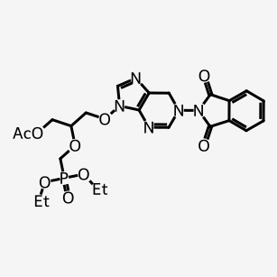 CCOP(=O)(COC(COC(C)=O)COn1cnc2c1N=CN(N1C(=O)c3ccccc3C1=O)C2)OCC